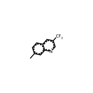 Cc1ccc2cc(C(F)(F)F)cnc2c1